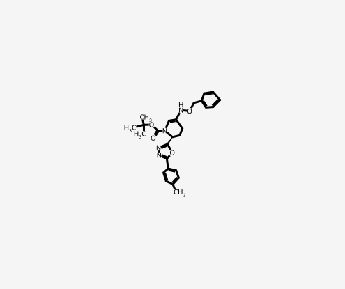 Cc1ccc(-c2nnc([C@@H]3CCC(NOCc4ccccc4)=CN3C(=O)OC(C)(C)C)o2)cc1